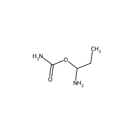 CCC(N)OC(N)=O